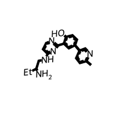 CCC(N)CNc1ccnc(-c2cc(-c3ccc(C)nc3)ccc2O)n1